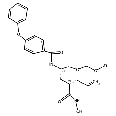 C=CC[C@@H](C[C@@H](COCOCC)NC(=O)c1ccc(Oc2ccccc2)cc1)C(=O)NO